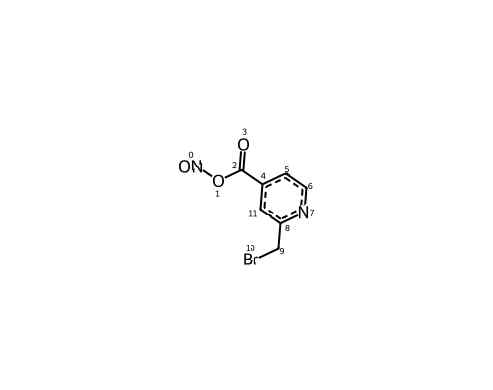 O=NOC(=O)c1ccnc(CBr)c1